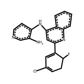 Nc1cnccc1Nc1cc(C2=CC(Cl)=CCC2F)nc2ccccc12